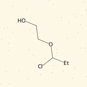 CCC(Cl)OCCO